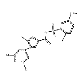 COc1ccc(C)c(S(=O)(=O)NC(=O)c2cn(-c3cc(Cl)cc(Cl)c3)c(C)n2)c1